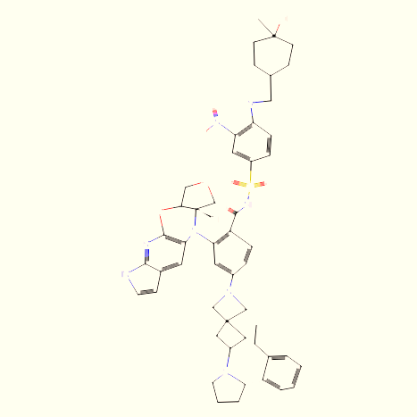 CCc1ccccc1[C@@H]1CCCN1C1CC2(C1)CN(c1ccc(C(=O)NS(=O)(=O)c3ccc(NCC4CCC(C)(O)CC4)c([N+](=O)[O-])c3)c(N3c4cc5cc[nH]c5nc4O[C@H]4COC[C@@H]43)c1)C2